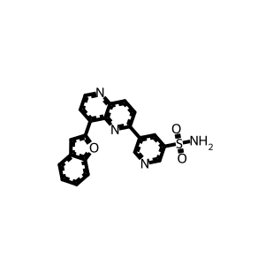 NS(=O)(=O)c1cncc(-c2ccc3nccc(-c4cc5ccccc5o4)c3n2)c1